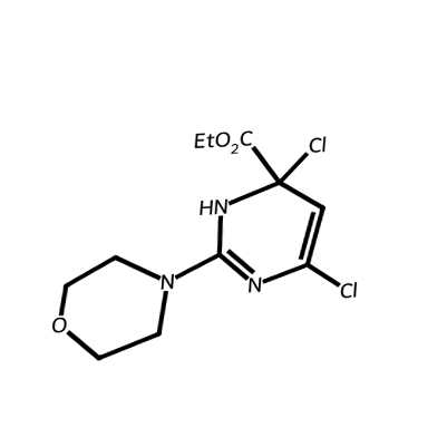 CCOC(=O)C1(Cl)C=C(Cl)N=C(N2CCOCC2)N1